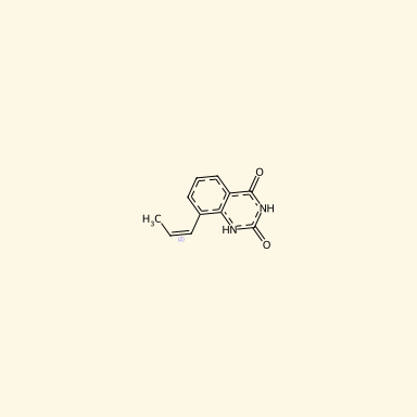 C/C=C\c1cccc2c(=O)[nH]c(=O)[nH]c12